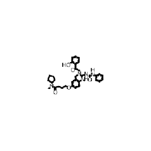 CN(C(=O)CCCOc1ccc2c(c1)CN(CC(=O)c1ccccc1O)C(NC(=O)Nc1ccccc1)=N2)C1CCCC1